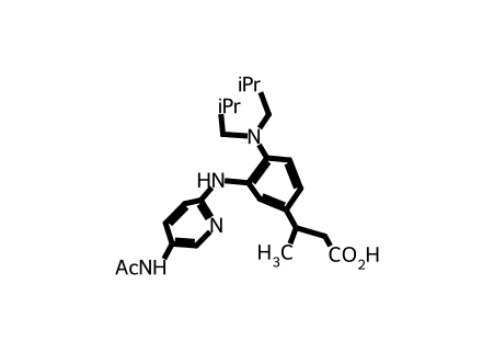 CC(=O)Nc1ccc(Nc2cc(C(C)CC(=O)O)ccc2N(CC(C)C)CC(C)C)nc1